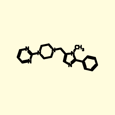 Cn1c(CN2CCN(c3ncccn3)CC2)cnc1-c1ccccc1